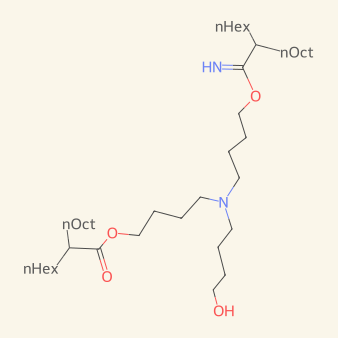 CCCCCCCCC(CCCCCC)C(=N)OCCCCN(CCCCO)CCCCOC(=O)C(CCCCCC)CCCCCCCC